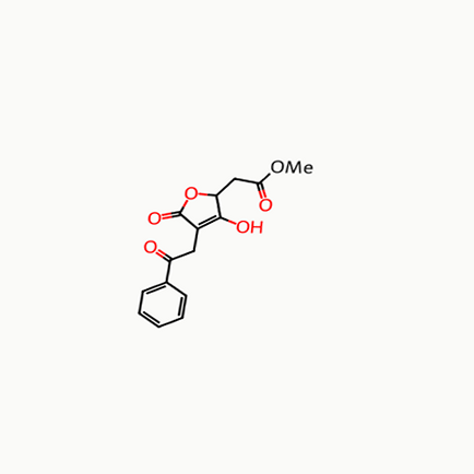 COC(=O)CC1OC(=O)C(CC(=O)c2ccccc2)=C1O